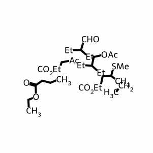 CCC(C=O)CC.CCC(CC)COC(C)=O.CCCC(=O)OCC.CCOC(=O)CC(C)=O.CCOC(=O)CC(C)SC.[CH2]C